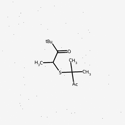 CC(=O)C(C)(C)SC(C)C(=O)C(C)(C)C